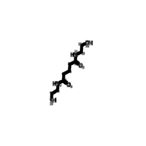 O=C(CCCC(=O)NCCS)NCCO